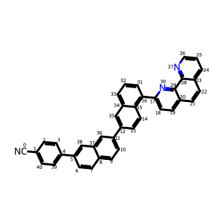 N#Cc1ccc(-c2ccc3ccc(-c4ccc5c(-c6ccc7ccc8cccnc8c7n6)cccc5c4)cc3c2)cc1